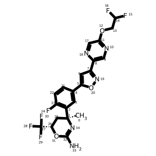 C[C@@]1(c2cc(-c3cc(-c4cnc(OCC(F)F)cn4)no3)ccc2F)C[C@@H](C(F)(F)F)OC(N)=N1